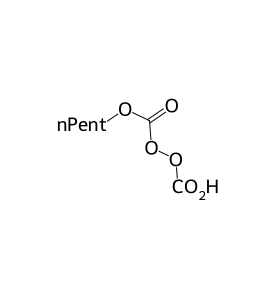 CCCCCOC(=O)OOC(=O)O